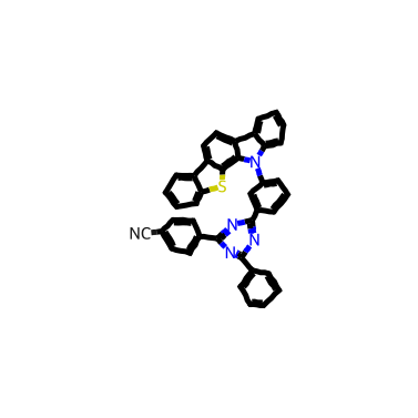 N#Cc1ccc(-c2nc(-c3ccccc3)nc(-c3cccc(-n4c5ccccc5c5ccc6c7ccccc7sc6c54)c3)n2)cc1